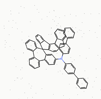 c1ccc(-c2ccc(N(c3ccc(-c4ccccc4)cc3)c3ccc4c(c3)C3(c5ccccc5-c5ccccc5-4)c4ccccc4-c4c3ccc3c4-c4ccccc4C3)cc2)cc1